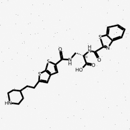 O=C(NC[C@H](NC(=O)c1nc2ccccc2s1)C(=O)O)c1cc2cc(CCC3CCNCC3)sc2s1